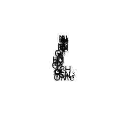 COc1ccc([C@@H]2CN3CCN(C(=O)Cc4cnc(-n5cnnn5)nc4)C[C@H]3CO2)c(C)c1C#N